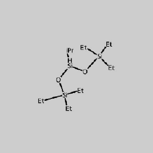 CC[Si](CC)(CC)O[SiH](O[Si](CC)(CC)CC)C(C)C